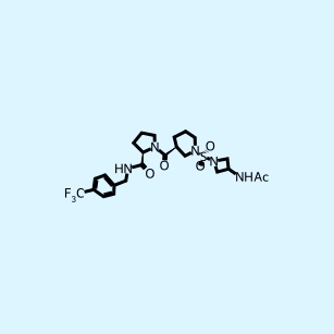 CC(=O)NC1CN(S(=O)(=O)N2CCC[C@H](C(=O)N3CCC[C@@H]3C(=O)NCc3ccc(C(F)(F)F)cc3)C2)C1